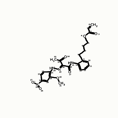 C=CC(=O)OCCCCc1ccccc1NC(=O)/C(=N/Nc1ccc([N+](=O)[O-])cc1OC)C(C)=O